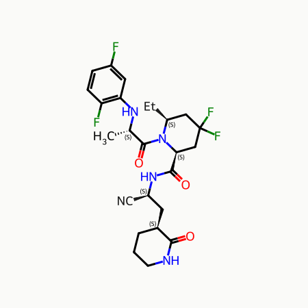 CC[C@H]1CC(F)(F)C[C@@H](C(=O)N[C@H](C#N)C[C@@H]2CCCNC2=O)N1C(=O)[C@H](C)Nc1cc(F)ccc1F